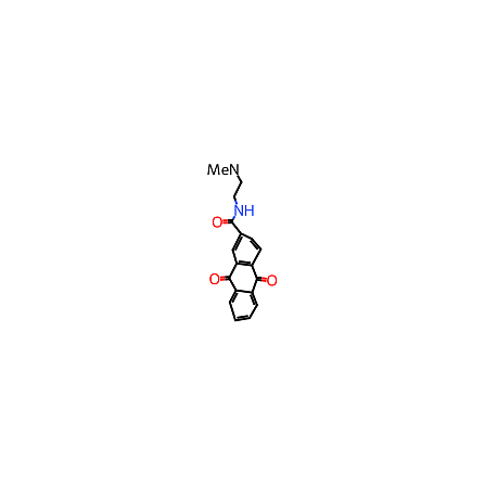 CNCCNC(=O)c1ccc2c(c1)C(=O)c1ccccc1C2=O